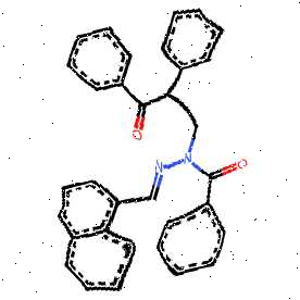 O=C(c1ccccc1)C(CN(N=Cc1cccc2ccccc12)C(=O)c1ccccc1)c1ccccc1